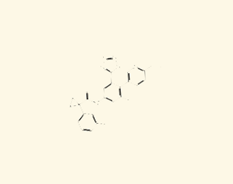 O=C(Nc1cc(F)c(-c2ccc(C(F)(F)F)nc2)c(-c2nnn[nH]2)c1)C1(c2cccc(Cl)c2)CC1